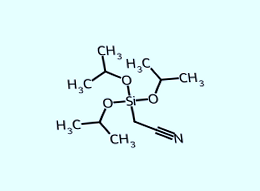 CC(C)O[Si](CC#N)(OC(C)C)OC(C)C